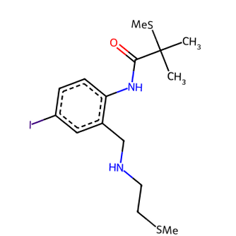 CSCCNCc1cc(I)ccc1NC(=O)C(C)(C)SC